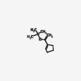 C=C(O[Si](C)(C)C)C1=CCCC1